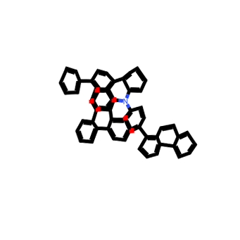 c1ccc(-c2ccc(-c3ccccc3N(c3ccc(-c4cccc5c4ccc4ccccc45)cc3)c3ccccc3-c3ccccc3-c3ccccc3-c3ccccc3)cc2)cc1